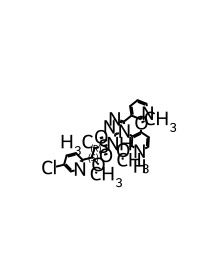 COC1=C(n2c(NS(=O)(=O)[C@H](C)[C@@H](OC)c3ccc(Cl)cn3)nnc2-c2cccnc2)C(OC)NC=C1